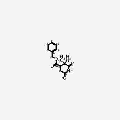 CC1(N)C(=O)NC(=O)CC1C(=O)OCc1ccccc1